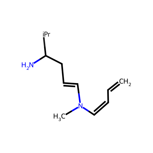 C=C/C=C\N(C)/C=C/CC(N)C(C)C